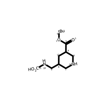 CC(C)(C)OC(=O)C1CNCC(CNC(=O)O)C1